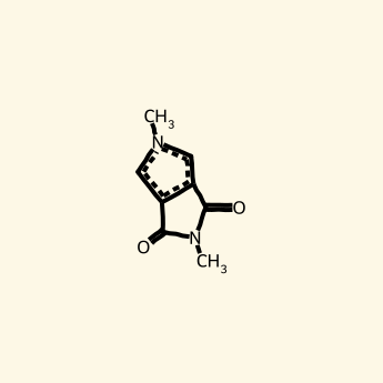 CN1C(=O)c2cn(C)cc2C1=O